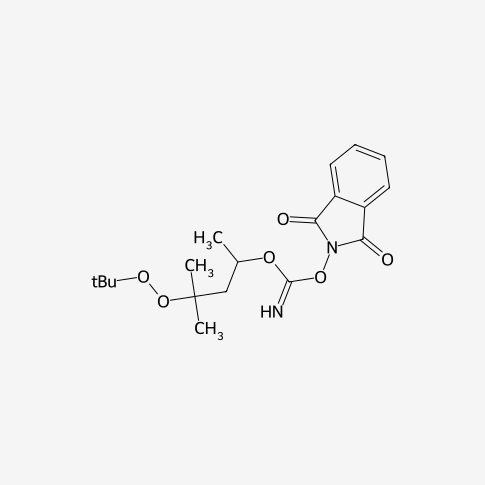 CC(CC(C)(C)OOC(C)(C)C)OC(=N)ON1C(=O)c2ccccc2C1=O